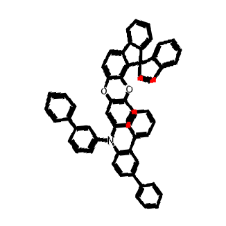 c1ccc(-c2cccc(N(c3ccc4c(c3)Oc3ccc5c(c3O4)C3(c4ccccc4-c4ccccc43)c3ccccc3-5)c3ccc(-c4ccccc4)cc3-c3ccccc3)c2)cc1